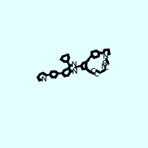 c1ccc(-c2nc(-c3cc4cc(c3)c3ccc(cc3)c3cccn3c3ccc(nc3)c3ccc4cc3)nc3ccc(-c4ccc(-c5ccccn5)cc4)cc23)cc1